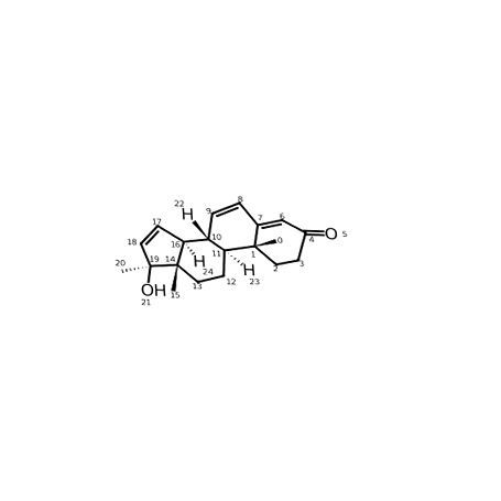 C[C@]12CCC(=O)C=C1C=C[C@@H]1[C@@H]2CC[C@@]2(C)[C@H]1C=C[C@]2(C)O